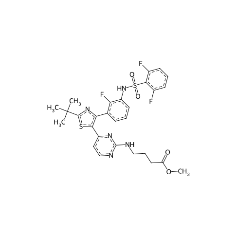 COC(=O)CCCNc1nccc(-c2sc(C(C)(C)C)nc2-c2cccc(NS(=O)(=O)c3c(F)cccc3F)c2F)n1